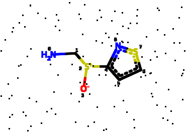 NC[S+]([O-])c1ccsn1